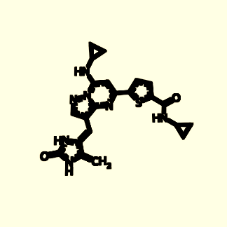 C=c1[nH]c(=O)[nH]/c1=C\c1cnn2c(NC3CC3)cc(-c3ccc(C(=O)NC4CC4)s3)nc12